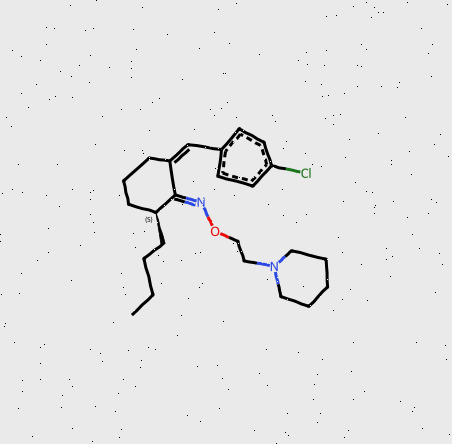 CCCC[C@H]1CCCC(=Cc2ccc(Cl)cc2)C1=NOCCN1CCCCC1